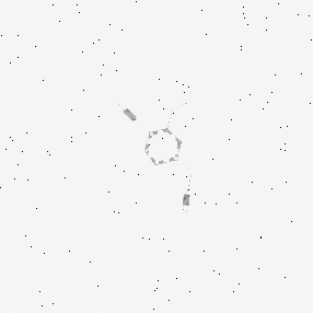 N#CSc1ccc(C#N)c(CF)c1